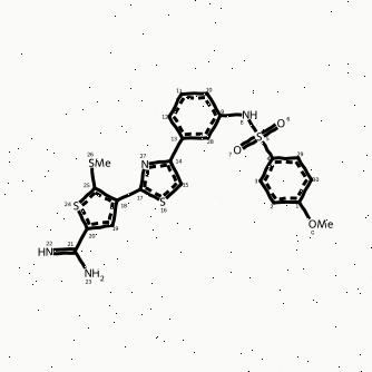 COc1ccc(S(=O)(=O)Nc2cccc(-c3csc(-c4cc(C(=N)N)sc4SC)n3)c2)cc1